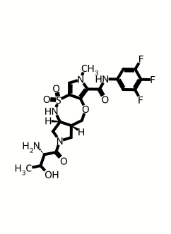 CC(O)[C@H](N)C(=O)N1C[C@H]2COc3c(cn(C)c3C(=O)Nc3cc(F)c(F)c(F)c3)S(=O)(=O)N[C@H]2C1